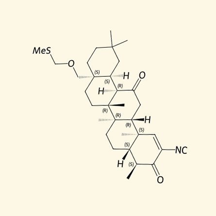 [C-]#[N+]C1=C[C@]2(C)[C@H]3CC(=O)[C@@H]4[C@@H]5CC(C)(C)CC[C@]5(COCSC)CC[C@@]4(C)[C@]3(C)CC[C@H]2[C@H](C)C1=O